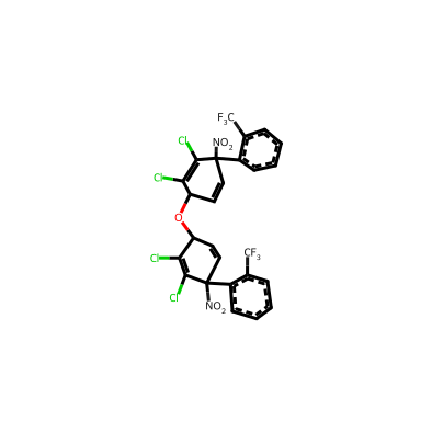 O=[N+]([O-])C1(c2ccccc2C(F)(F)F)C=CC(OC2C=CC(c3ccccc3C(F)(F)F)([N+](=O)[O-])C(Cl)=C2Cl)C(Cl)=C1Cl